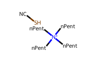 CCCCC[N+](CCCCC)(CCCCC)CCCCC.N#CS